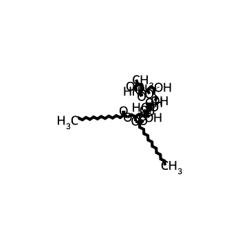 CCCCCCCCCCCCCC(=O)OCC(COP(=O)(O)OP(=O)(O)O)OC(=O)CCCCCCCCCCCCC.Cc1cn([C@H]2C[C@H](O)[C@@H](CO)O2)c(=O)[nH]c1=O